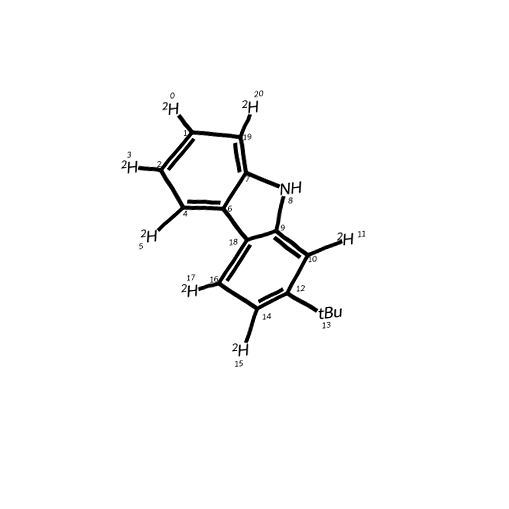 [2H]c1c([2H])c([2H])c2c([nH]c3c([2H])c(C(C)(C)C)c([2H])c([2H])c32)c1[2H]